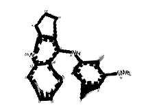 CSc1cccc(Nc2c3c(nc4ccccc24)CCC3)c1